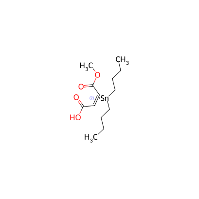 CCC[CH2][Sn][CH2]CCC.COC(=O)/C=C\C(=O)O